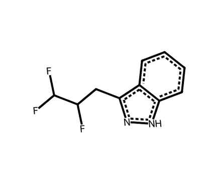 FC(F)C(F)Cc1n[nH]c2ccccc12